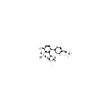 CS(=O)(=O)Nc1ccc(-c2ccc(Br)c(S(N)(=O)=O)c2-c2nn[nH]n2)cc1